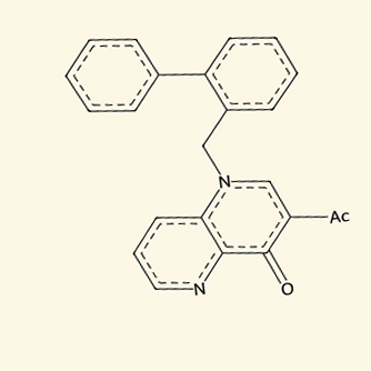 CC(=O)c1cn(Cc2ccccc2-c2ccccc2)c2cccnc2c1=O